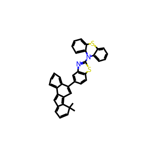 CC1(C)C=CC=C2C=c3c(cc(-c4ccc5sc(N6c7ccccc7Sc7ccccc76)nc5c4)c4ccccc34)=C21